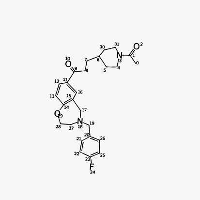 CC(=O)N1CCC(CCC(=O)c2ccc3c(c2)CN(Cc2ccc(F)cc2)CCO3)CC1